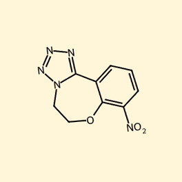 O=[N+]([O-])c1cccc2c1OCCn1nnnc1-2